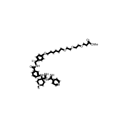 COC(=O)CCOCCOCCOCCCCCCOc1ccc([C@@H](C)NC(=O)c2cccc(NC3(C(=N)NC(=N)c4ccncc4)CCN(C)CC3)c2)cc1